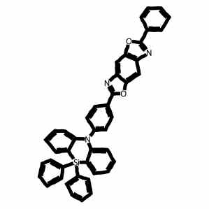 c1ccc(-c2nc3cc4oc(-c5ccc(N6c7ccccc7[Si](c7ccccc7)(c7ccccc7)c7ccccc76)cc5)nc4cc3o2)cc1